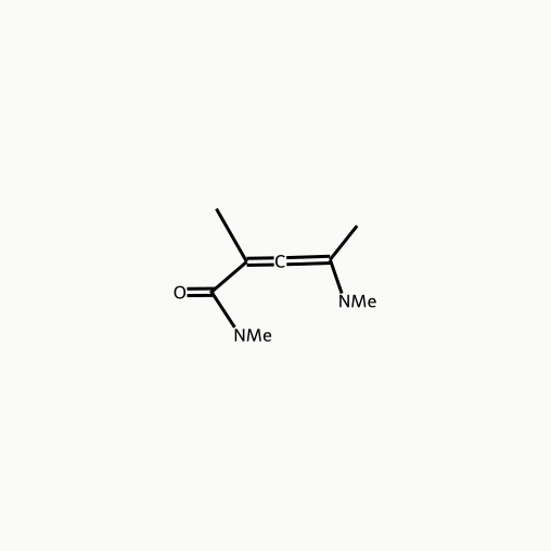 CNC(=O)C(C)=C=C(C)NC